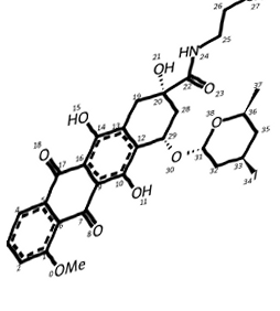 COc1cccc2c1C(=O)c1c(O)c3c(c(O)c1C2=O)C[C@@](O)(C(=O)NCCS)C[C@@H]3O[C@H]1C[C@H](I)C[C@H](C)O1